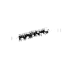 O=S(=O)(O)C(F)(F)C(F)(F)C(F)(F)C(F)(F)C(F)(F)C(F)(F)C(F)(F)C(F)(F)C(F)(F)C(F)(F)C(F)(F)C(F)(F)C(F)(F)C(F)(F)C(F)(F)C(F)(F)C(F)(F)F